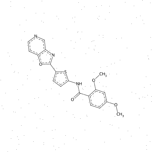 COc1ccc(C(=O)Nc2ccc(-c3nc4cnccc4o3)s2)c(OC)c1